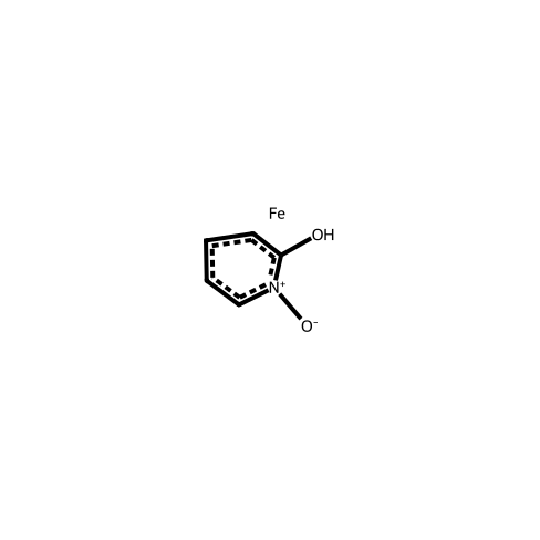 [Fe].[O-][n+]1ccccc1O